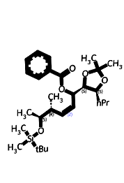 CCC[C@@H]1OC(C)(C)O[C@@H]1C(/C=C\[C@@H](C)[C@H](C)O[Si](C)(C)C(C)(C)C)OC(=O)c1ccccc1